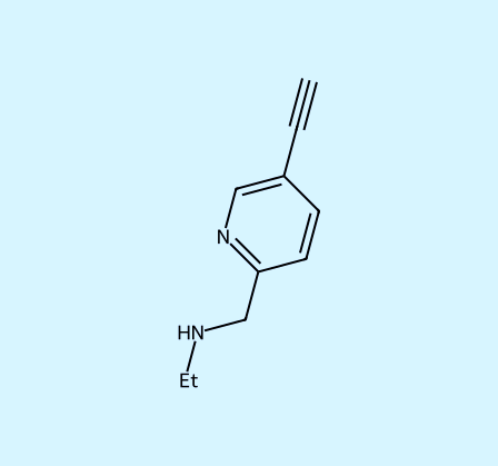 C#Cc1ccc(CNCC)nc1